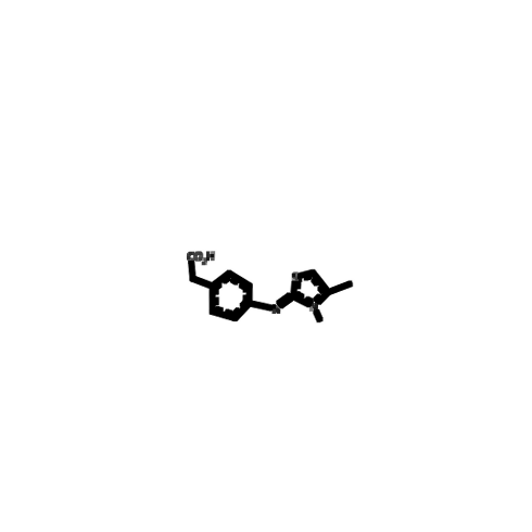 Cc1cs/c(=N\c2ccc(CC(=O)O)cc2)n1C